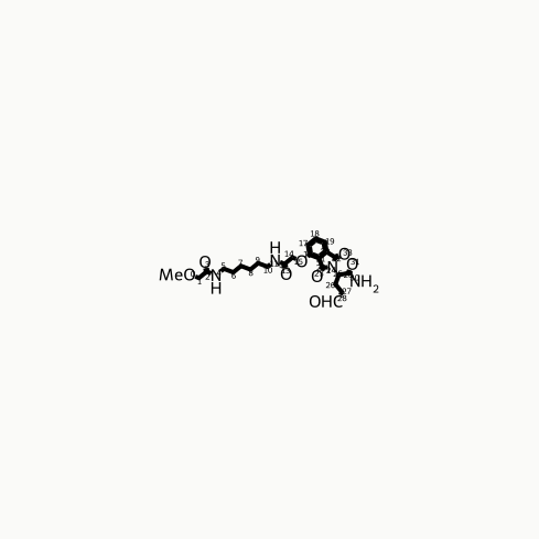 COCC(=O)NCCCCCCNC(=O)COc1cccc2c1C(=O)N(C(CCC=O)C(N)=O)C2=O